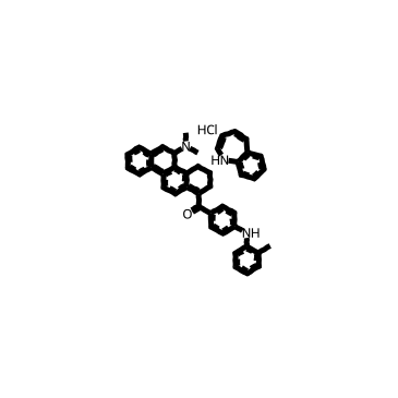 C1=CNc2ccccc2C=C1.Cc1ccccc1Nc1ccc(C(=O)C2=c3ccc4c(c3CCC2)C(N(C)C)C=c2ccccc2=4)cc1.Cl